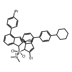 CCC1=Cc2c(-c3ccc(C4CCCCC4)cc3)cccc2[CH]1[Zr]([Cl])([Cl])([CH]1C(C(C)CC)=Cc2c(-c3ccc(C(C)C)cc3)cccc21)[SiH](C)C